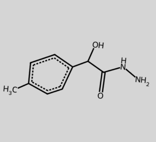 Cc1ccc(C(O)C(=O)NN)cc1